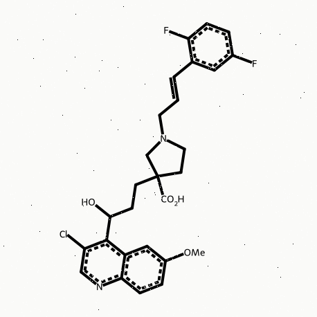 COc1ccc2ncc(Cl)c(C(O)CCC3(C(=O)O)CCN(C/C=C/c4cc(F)ccc4F)C3)c2c1